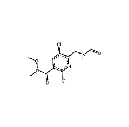 CON(C)C(=O)c1cc(Cl)c(CNC=O)nc1Cl